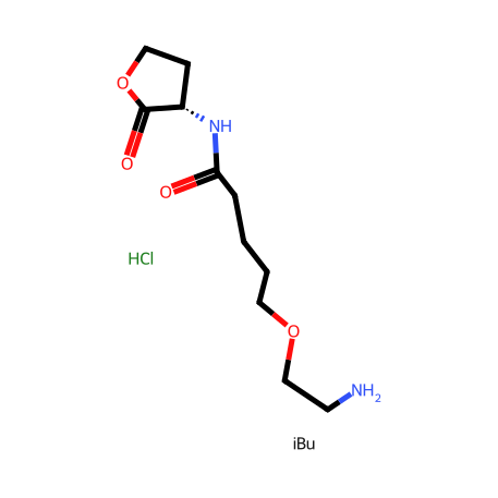 CC[C@H](C)C(N)COCCCCC(=O)N[C@H]1CCOC1=O.Cl